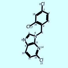 Clc1ccc(Cn2cnc3ccc(Cl)nc32)c(Cl)c1